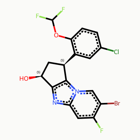 O[C@H]1C[C@@H](c2cc(Cl)ccc2OC(F)F)c2c1nc1cc(F)c(Br)cn21